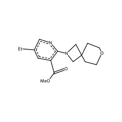 CCc1cnc(N2CC3(CCOCC3)C2)c(C(=O)OC)c1